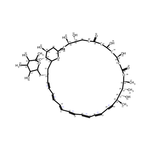 CC1OC(C[C@H]2/C=C/C=C/C=C/C=C/C=C/C=C/C=C/[C@H](C)[C@@H](O)[C@@H](C)[C@H](C)OC(=O)C[C@H](O)CC(O)CC(=O)CC[C@@H](O)[C@H](O)C[C@]3(O)C[C@H](O)[C@@H](C)C(C2)O3)C(O)C(N)C1O